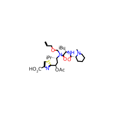 C=CCOCN(C(=O)[C@@H](NC(=O)[C@H]1CCCCN1C)C(C)CC)[C@H](C[C@@H](OC(C)=O)c1nc(C(=O)O)cs1)C(C)C